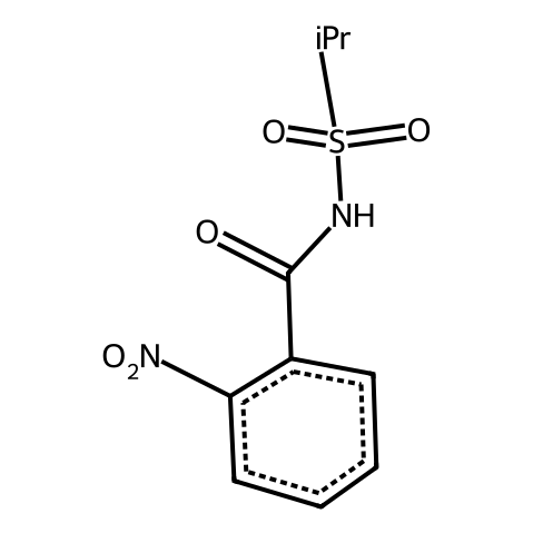 CC(C)S(=O)(=O)NC(=O)c1ccccc1[N+](=O)[O-]